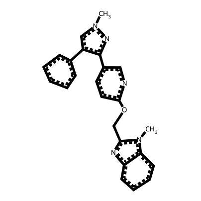 Cn1cc(-c2ccccc2)c(-c2ccc(OCc3nc4ccccc4n3C)nc2)n1